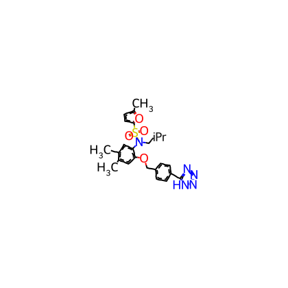 Cc1ccc(S(=O)(=O)N(CC(C)C)c2cc(C)c(C)cc2OCc2ccc(-c3nnn[nH]3)cc2)o1